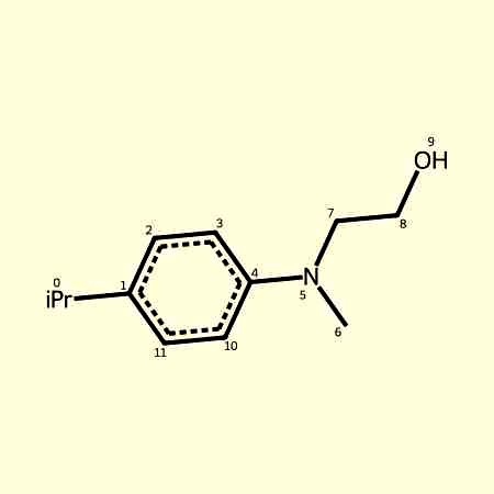 CC(C)c1ccc(N(C)CCO)cc1